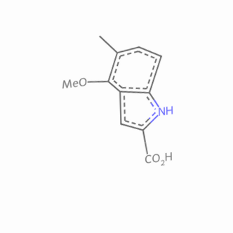 COc1c(C)ccc2[nH]c(C(=O)O)cc12